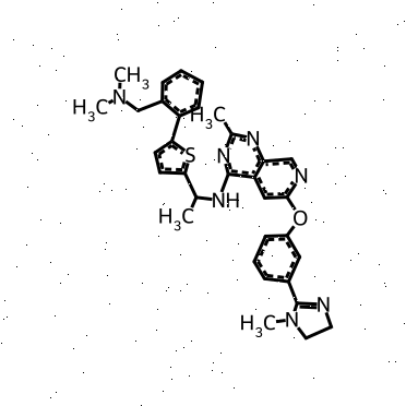 Cc1nc(NC(C)c2ccc(-c3ccccc3CN(C)C)s2)c2cc(Oc3cccc(C4=NCCN4C)c3)ncc2n1